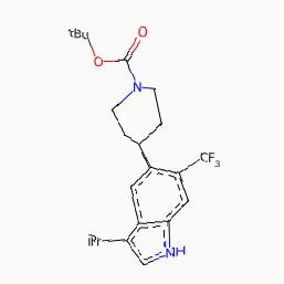 CC(C)c1c[nH]c2cc(C(F)(F)F)c(C3CCN(C(=O)OC(C)(C)C)CC3)cc12